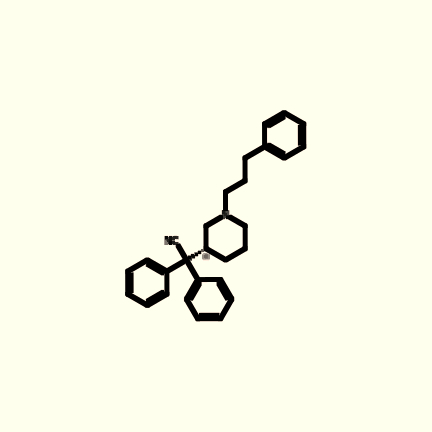 N#CC(c1ccccc1)(c1ccccc1)[C@H]1CCCN(CCCc2ccccc2)C1